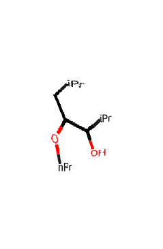 CCCO[C](CC(C)C)C(O)C(C)C